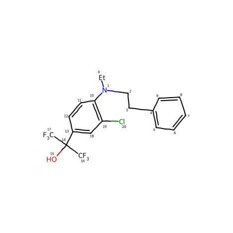 CCN(CCc1ccccc1)c1ccc(C(O)(C(F)(F)F)C(F)(F)F)cc1Cl